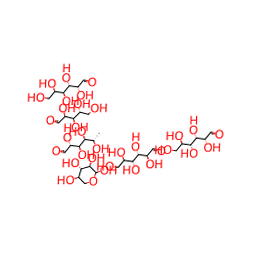 C[C@H](O)[C@H](O)[C@@H](O)[C@@H](O)C=O.O=C[C@@H](O)[C@@H](O)[C@H](O)[C@H](O)CO.O=C[C@@H](O)[C@H](O)[C@H](O)CO.O=C[C@H](O)[C@@H](O)[C@@H](O)[C@H](O)CO.O=C[C@H](O)[C@@H](O)[C@H](O)[C@H](O)CO.OC1OC[C@@H](O)[C@H](O)[C@H]1O